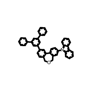 c1ccc(-c2cc(-c3ccccc3)cc(-c3ccc4c(c3)-c3ccc(-n5c6ccccc6c6ccccc65)cc3COC4)c2)cc1